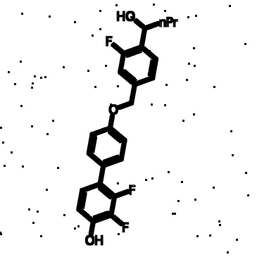 CCCC(O)c1ccc(COc2ccc(-c3ccc(O)c(F)c3F)cc2)cc1F